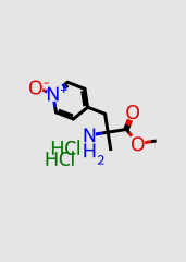 COC(=O)C(C)(N)Cc1cc[n+]([O-])cc1.Cl.Cl